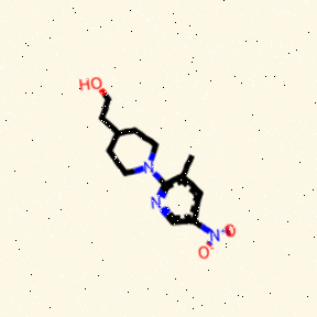 Cc1cc([N+](=O)[O-])cnc1N1CCC(CCO)CC1